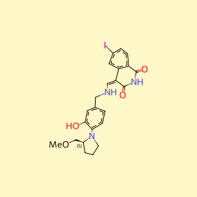 COC[C@@H]1CCCN1c1ccc(CNC=C2C(=O)NC(=O)c3ccc(I)cc32)cc1O